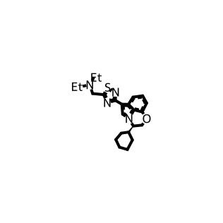 CCN(CC)Cc1nc(-c2cn3c4c(cccc24)OC[C@H]3C2CCCCC2)ns1